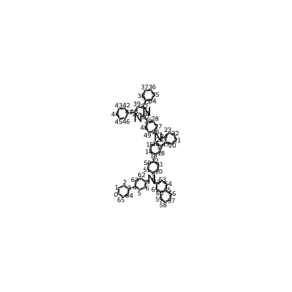 c1ccc(-c2ccc(N(c3ccc(-c4ccc5c(c4)c4ccccc4n5-c4ccc(-c5nc(-c6ccccc6)cc(-c6ccccc6)n5)cc4)cc3)c3ccc4ccccc4c3)cc2)cc1